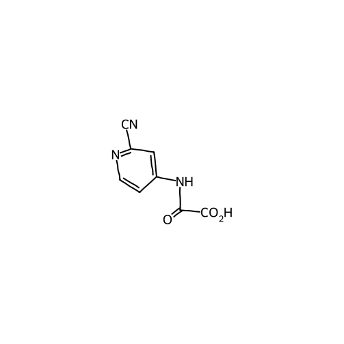 N#Cc1cc(NC(=O)C(=O)O)ccn1